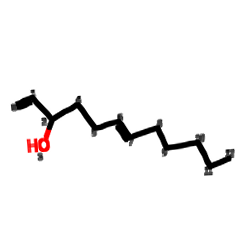 C=CC(O)CCC=CCCCCC